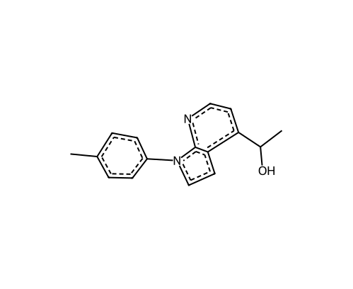 Cc1ccc(-n2ccc3c(C(C)O)ccnc32)cc1